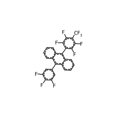 Fc1cc(-c2c3ccccc3c(-c3c(F)c(F)c(C(F)(F)F)c(F)c3F)c3ccccc23)cc(F)c1F